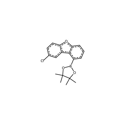 CC1(C)OB(c2cccc3oc4ccc(Cl)cc4c23)OC1(C)C